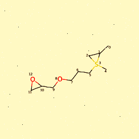 CC1CS1(C)CCCOCC1CO1